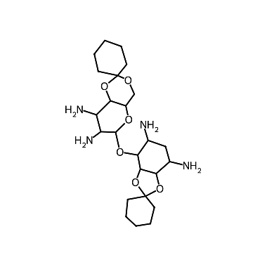 NC1CC(N)C2OC3(CCCCC3)OC2C1OC1OC2COC3(CCCCC3)OC2C(N)C1N